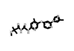 COC(C)(C)C(=O)NC(=O)Nc1cc(C)c(Oc2ccnc(-n3cnc(C)c3)c2)cn1